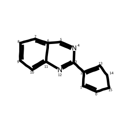 C1=CC(c2ncc3ccccc3n2)=CCC1